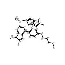 CC1=C2c3oc(C)cc3C1[Si]2(C)C.CCCCCCc1ccc(-c2cccc3c2C=C(C)[CH]3[Zr+2])cc1.[Cl-].[Cl-]